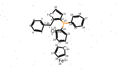 CO[C@H](c1ccccc1)c1[cH-]ccc1P(c1ccccc1)c1ccccc1.[Fe+2].c1cc[cH-]c1